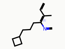 C=C/C(C)=C(\CCCC1CCC1)N=C